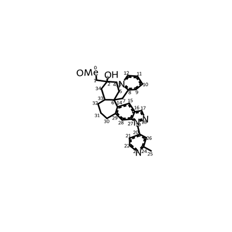 COCC1(O)CCC2(Cc3ccccn3)c3cc4cnn(-c5ccnc(C)c5)c4cc3CCCC2C1